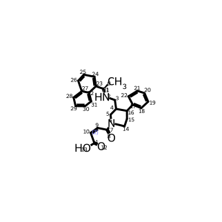 C[C@@H](NCC1CN(C(=O)/C=C\C(=O)O)CCC1c1ccccc1)c1cccc2ccccc12